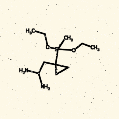 CCO[Si](C)(OCC)C1(CC(N)N)CC1